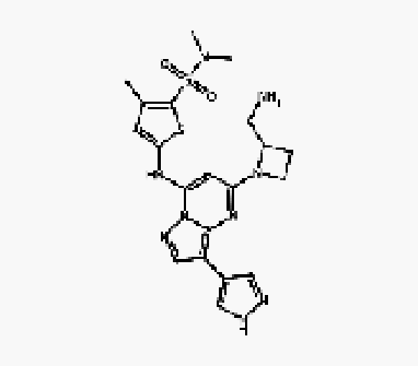 Cc1cc(Nc2cc(N3CCC3CN)nc3c(-c4cn[nH]c4)cnn23)sc1S(=O)(=O)N(C)C